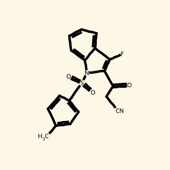 Cc1ccc(S(=O)(=O)n2c(C(=O)CC#N)c(F)c3ccccc32)cc1